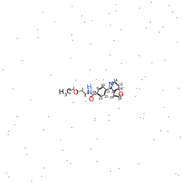 CCOCCNC(=O)c1ccc(-c2nccc3occc23)cc1